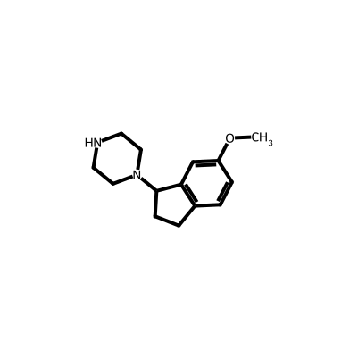 COc1ccc2c(c1)C(N1CCNCC1)CC2